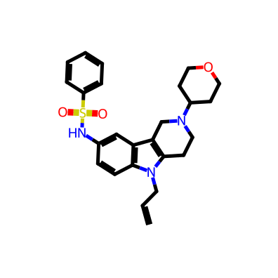 C=CCn1c2c(c3cc(NS(=O)(=O)c4ccccc4)ccc31)CN(C1CCOCC1)CC2